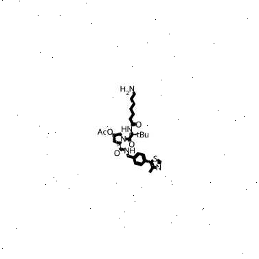 CC(=O)O[C@H]1C[C@@H](C(=O)NCc2ccc(-c3scnc3C)cc2)N(C(=O)[C@@H](NC(=O)CCCCCCN)C(C)(C)C)C1